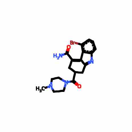 CN1CCN(C(=O)C2CC3=Nc4cccc(Br)c4C3=C(C(N)=O)C2)CC1